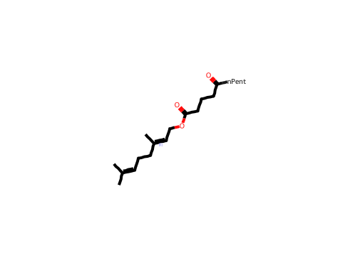 CCCCCC(=O)CCCC(=O)OC/C=C(\C)CCC=C(C)C